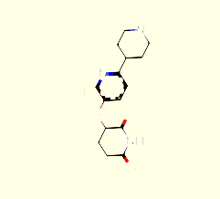 Cl.O=C1CCC(Oc2ccc(C3CCNCC3)nc2)C(=O)N1